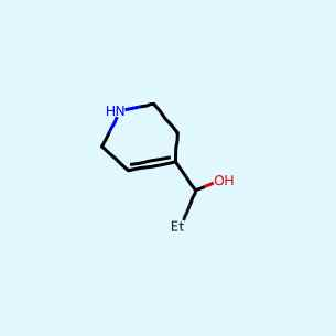 CCC(O)C1=CCNCC1